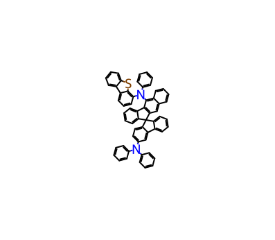 c1ccc(N(c2ccccc2)c2ccc3c(c2)-c2ccccc2C32c3ccccc3-c3c2cc2ccccc2c3N(c2ccccc2)c2cccc3c2sc2ccccc23)cc1